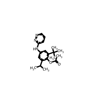 CC(=O)Oc1c(C(C)C)cc(Nc2cccnn2)cc1C(C)(C)C